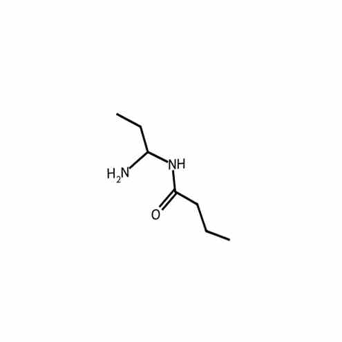 CCCC(=O)NC(N)CC